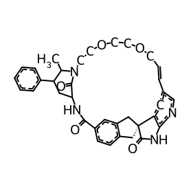 CC1C(c2ccccc2)CC2NC(=O)c3ccc4c(c3)C[C@]3(C4)C(=O)Nc4ncc(cc43)/C=C/COCCOCCN1C2=O